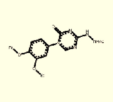 CCOc1ccc(-n2cnc(NNC(C)=O)nc2=O)cc1OCC